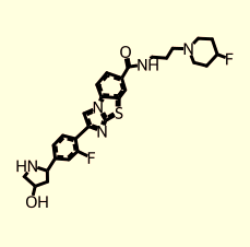 O=C(NCCCN1CCC(F)CC1)c1ccc2c(c1)sc1nc(-c3ccc(C4CC(O)CN4)cc3F)cn12